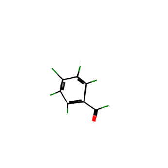 O=C(F)c1c(F)c(F)c(F)c(F)c1Cl